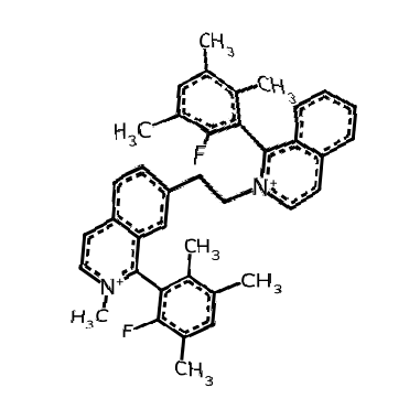 Cc1cc(C)c(F)c(-c2c3cc(CC[n+]4ccc5ccccc5c4-c4c(C)c(C)cc(C)c4F)ccc3cc[n+]2C)c1C